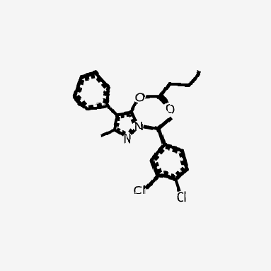 CCCC(=O)Oc1c(-c2ccccc2)c(C)nn1C(C)c1ccc(Cl)c(Cl)c1